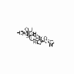 C#C[C@@]1(O)CC[C@@]2(C)[C@H](CC[C@@H]3[C@@H]2CC[C@]2(C)[C@@H](C(=O)Cn4cccn4)CC[C@@H]32)C1